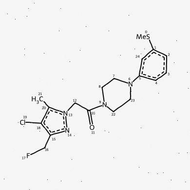 CSc1cccc(N2CCN(C(=O)Cn3nc(CF)c(Cl)c3C)CC2)c1